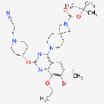 CCOc1c(Br)c(CC)cc2c(N3CCC4(CC3)CN(C(=O)OC(C)(C)C)C4)nc(OC3CCN(CCC#N)CC3)nc12